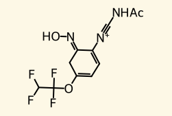 CC(=O)NC#[N+]C1=CC=C(OC(F)(F)C(F)F)CC1=NO